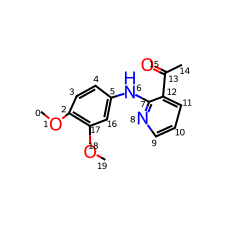 COc1ccc(Nc2ncccc2C(C)=O)cc1OC